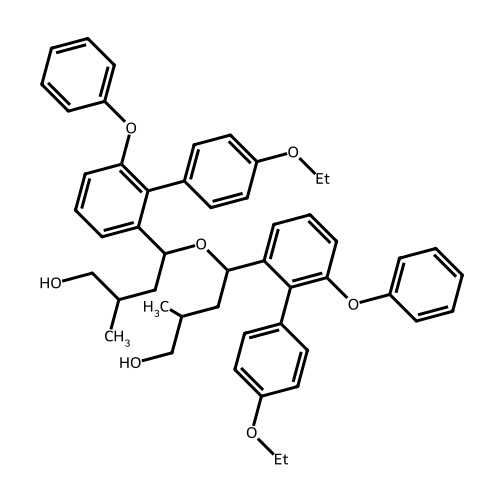 CCOc1ccc(-c2c(Oc3ccccc3)cccc2C(CC(C)CO)OC(CC(C)CO)c2cccc(Oc3ccccc3)c2-c2ccc(OCC)cc2)cc1